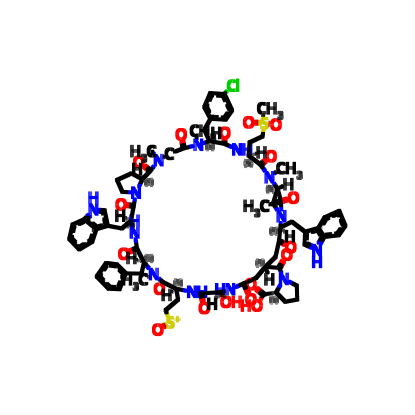 CC1[C@@H]2C(=O)N1[C@@H](Cc1c[nH]c3ccccc13)C(=O)C[C@H](C(=O)N1CCC[C@H]1C(=O)O)CC(=O)N[C@@H](O)C(=O)N[C@@H](CC[S+]=O)C(=O)N(C)[C@@H](Cc1ccccc1)C(=O)N[C@@H](Cc1c[nH]c3ccccc13)C(=O)N1CCC[C@H]1C(=O)N(C)CC(=O)N(C)[C@@H](Cc1ccc(Cl)cc1)C(=O)N[C@@H](CCS(C)(=O)=O)C(=O)N2C